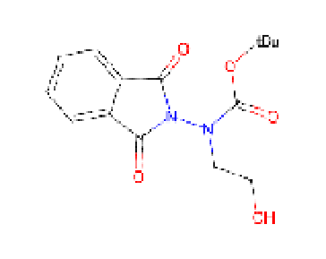 CC(C)(C)OC(=O)N(CCO)N1C(=O)c2ccccc2C1=O